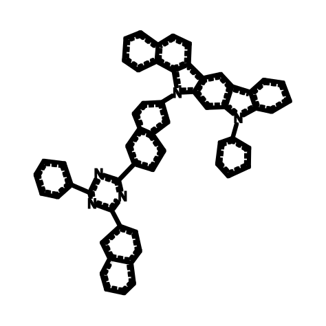 c1ccc(-c2nc(-c3ccc4ccccc4c3)nc(-c3ccc4cc(-n5c6cc7c(cc6c6ccc8ccccc8c65)c5ccccc5n7-c5ccccc5)ccc4c3)n2)cc1